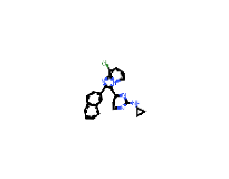 Clc1cccn2c(-c3ccnc(NC4CC4)n3)c(-c3ccc4ccccc4c3)nc12